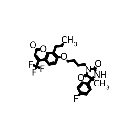 CCCc1c(OCCCCN2C(=O)NC(C)(c3ccc(F)cc3)C2=O)ccc2c(C(F)(F)F)cc(=O)oc12